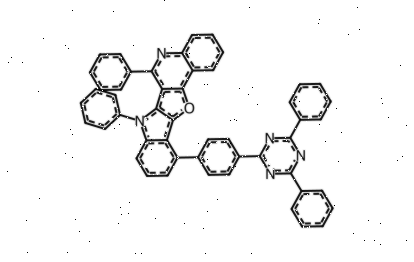 c1ccc(-c2nc(-c3ccccc3)nc(-c3ccc(-c4cccc5c4c4oc6c7ccccc7nc(-c7ccccc7)c6c4n5-c4ccccc4)cc3)n2)cc1